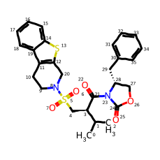 CC(C)[C@@H](CS(=O)(=O)N1CCc2c(sc3ccccc23)C1)C(=O)N1C(=O)OC[C@H]1Cc1ccccc1